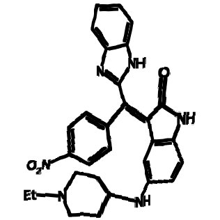 CCN1CCC(Nc2ccc3c(c2)C(=C(c2ccc([N+](=O)[O-])cc2)c2nc4ccccc4[nH]2)C(=O)N3)CC1